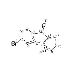 O=C1c2ccc(Br)cc2-c2ncccc21